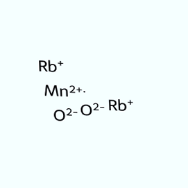 [Mn+2].[O-2].[O-2].[Rb+].[Rb+]